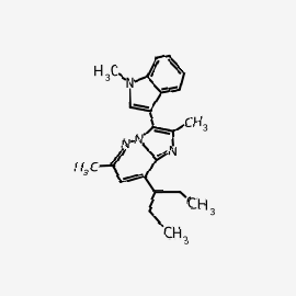 CCC(CC)c1cc(C)nn2c(-c3cn(C)c4ccccc34)c(C)nc12